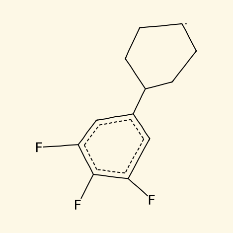 Fc1cc(C2CC[CH]CC2)cc(F)c1F